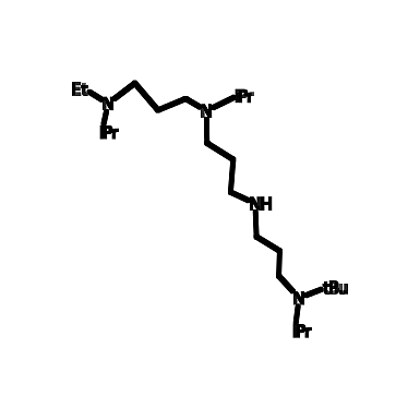 CCN(CCCN(CCCNCCCN(C(C)C)C(C)(C)C)C(C)C)C(C)C